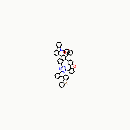 c1ccc(-c2nc(-c3ccccc3-c3cccc4sc5ccccc5c34)nc(-c3cccc4oc5ccc(-c6ccc(-c7cccc8c9ccccc9n(-c9ccccc9)c78)c7oc8ccccc8c67)cc5c34)n2)cc1